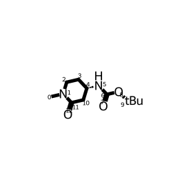 CN1CC[C@H](NC(=O)OC(C)(C)C)CC1=O